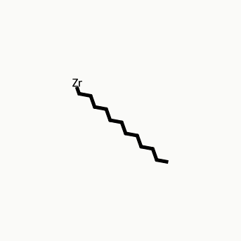 CCCCCCCCCCC[CH2][Zr]